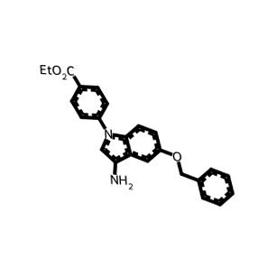 CCOC(=O)c1ccc(-n2cc(N)c3cc(OCc4ccccc4)ccc32)cc1